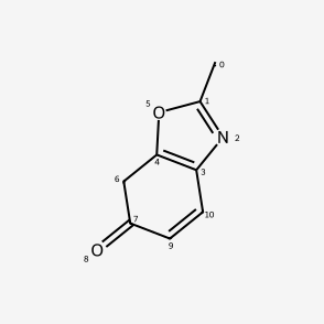 [CH2]c1nc2c(o1)CC(=O)C=C2